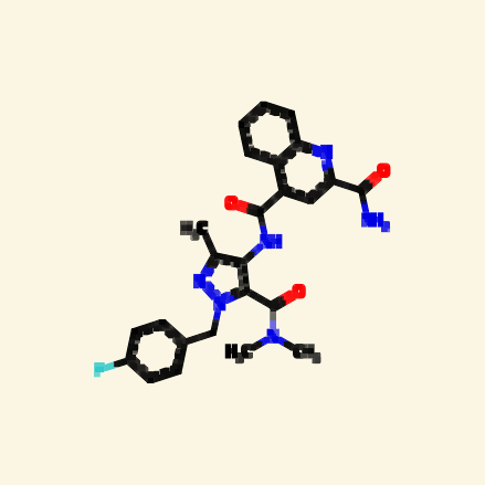 Cc1nn(Cc2ccc(F)cc2)c(C(=O)N(C)C)c1NC(=O)c1cc(C(N)=O)nc2ccccc12